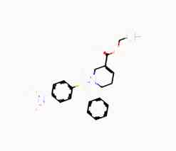 CCOC(=O)C1=CC[C@H](c2ccccc2)N(S(=O)(=O)c2ccc([N+](=O)[O-])cc2)C1